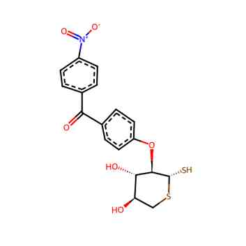 O=C(c1ccc(O[C@@H]2[C@@H](O)[C@H](O)CS[C@H]2S)cc1)c1ccc([N+](=O)[O-])cc1